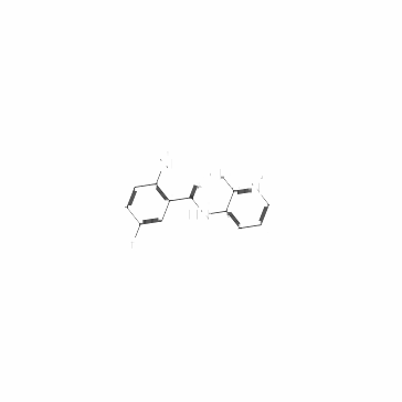 CCc1ccc(N)c(C(=O)Nc2cccnc2Cl)c1